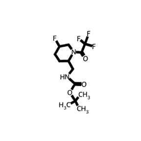 CC(C)(C)OC(=O)NCC1CCC(F)CN1C(=O)C(F)(F)F